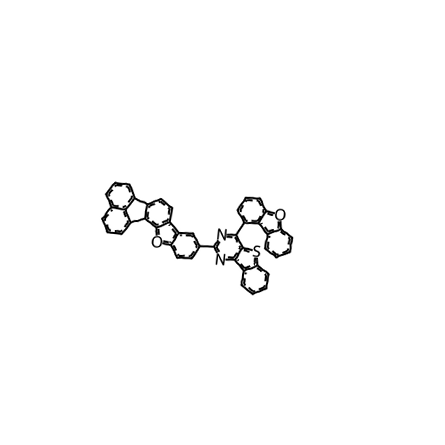 c1cc2c3c(cccc3c1)-c1c-2ccc2c1oc1ccc(-c3nc(-c4cccc5oc6ccccc6c45)c4sc5ccccc5c4n3)cc12